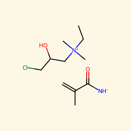 C=C(C)C([NH-])=O.CC[N+](C)(C)CC(O)CCl